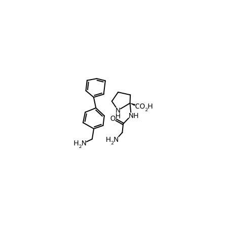 NCC(=O)N[C@@]1(C(=O)O)CCCN1.NCc1ccc(-c2ccccc2)cc1